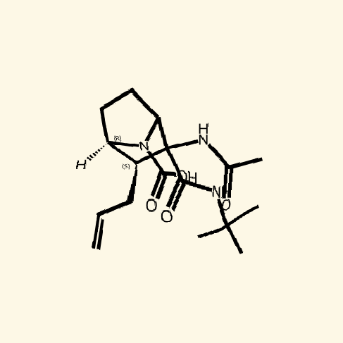 C=CC[C@H]1[C@H]2CCC(N2C(=O)O)C1(NC(C)=O)C(=O)NC(C)(C)C